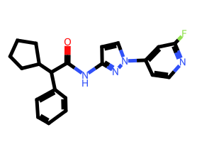 O=C(Nc1ccn(-c2ccnc(F)c2)n1)C(c1ccccc1)C1CCCC1